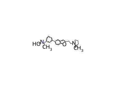 C/C(=N\O)c1cccc(-c2ccc3oc(CCN4CCC[C@H]4C)cc3c2)c1